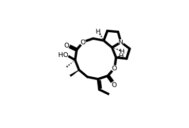 C/C=C1/C[C@@H](C)[C@@](C)(O)C(=O)OC[C@H]2CCN3CC[C@@H](OC1=O)[C@@H]23